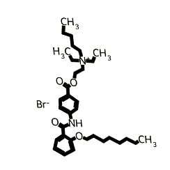 CCCCCCCCOc1ccccc1C(=O)Nc1ccc(C(=O)OCC[N+](CC)(CC)CCCCC)cc1.[Br-]